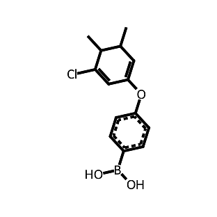 CC1C=C(Oc2ccc(B(O)O)cc2)C=C(Cl)C1C